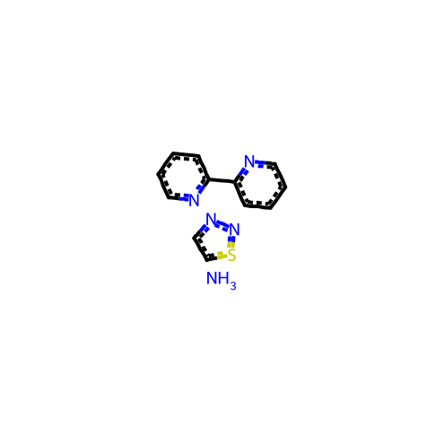 N.c1ccc(-c2ccccn2)nc1.c1csnn1